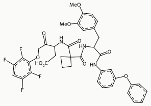 COc1ccc(CC(NC(=O)C2(C(=O)NC(CC(=O)O)C(=O)COc3c(F)c(F)cc(F)c3F)CCC2)C(=O)Nc2cccc(Oc3ccccc3)c2)cc1OC